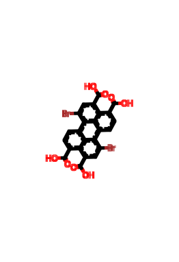 O=C(O)c1ccc2c3c(Br)cc(C(=O)O)c4c(C(=O)O)ccc(c5c(Br)cc(C(=O)O)c1c25)c43